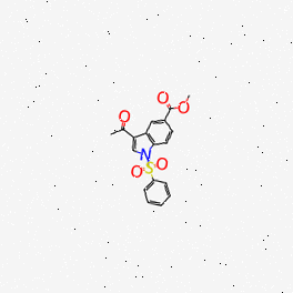 COC(=O)c1ccc2c(c1)c(C(C)=O)cn2S(=O)(=O)c1ccccc1